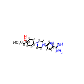 N=C(N)c1ccc(N2CCN([C@H]3CC[C@@](O)(CC(=O)O)CC3)CC2)cn1